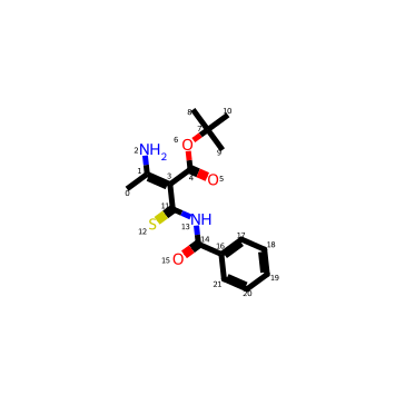 C/C(N)=C(/C(=O)OC(C)(C)C)C(=S)NC(=O)c1ccccc1